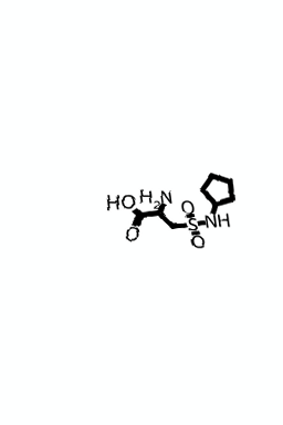 NC(CS(=O)(=O)NC1CCCC1)C(=O)O